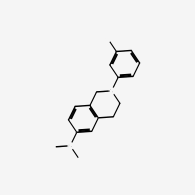 CN(C)c1ccc2c(c1)CCN(c1cccc(Br)c1)C2